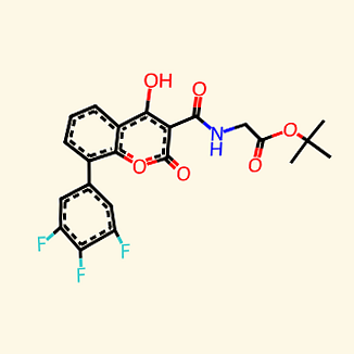 CC(C)(C)OC(=O)CNC(=O)c1c(O)c2cccc(-c3cc(F)c(F)c(F)c3)c2oc1=O